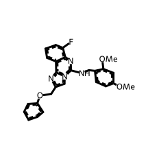 COc1ccc(CNc2nc3c(F)cccc3c3nc(COc4ccccc4)cn23)c(OC)c1